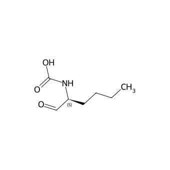 CCCC[C@@H](C=O)NC(=O)O